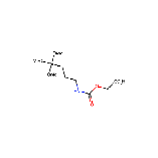 CO[Si](CCCNC(=O)OCC(=O)O)(OC)OC